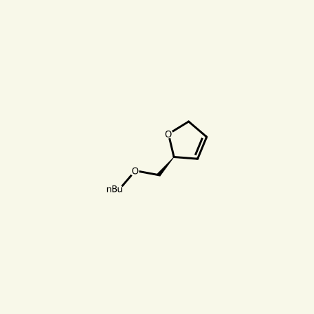 CCCCOC[C@@H]1C=CCO1